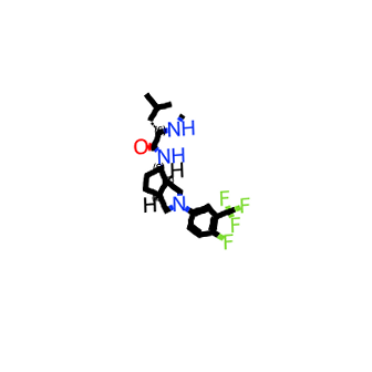 CN[C@@H](CC(C)C)C(=O)N[C@H]1CC[C@@H]2CN(c3ccc(F)c(C(F)(F)F)c3)C[C@@H]21